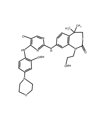 COCCN1C(=O)CCC(C)(C)c2ccc(Nc3ncc(Cl)c(Nc4ccc(N5CCOCC5)cc4OC)n3)cc21